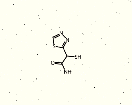 [NH]C(=O)C(S)c1nncs1